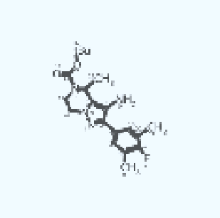 Cc1cc(-c2nn3c(c2N)C(C)N(C(=O)OC(C)(C)C)CC3)cc(C)c1F